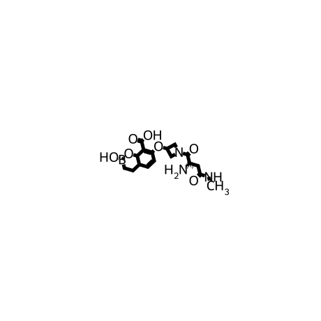 CNC(=O)C[C@@H](N)C(=O)N1CC(OC2=C(C(=O)O)C3OB(O)CCC3C=C2)C1